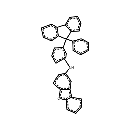 c1ccc(C2(c3cccc(Nc4ccc5oc6ccccc6c5c4)c3)c3ccccc3-c3ccccc32)cc1